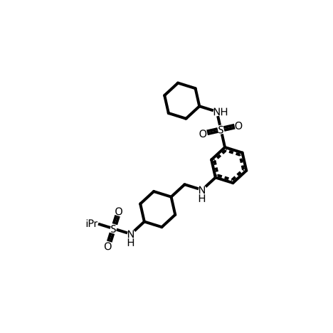 CC(C)S(=O)(=O)NC1CCC(CNc2cccc(S(=O)(=O)NC3CCCCC3)c2)CC1